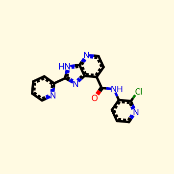 O=C(Nc1cccnc1Cl)c1ccnc2[nH]c(-c3ccccn3)nc12